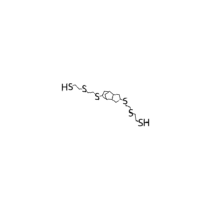 SCCSCCSC1CC2C3CC(SCCSCCS)C(C3)C2C1